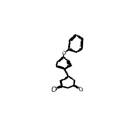 O=C1CC(=O)CC(c2ccc(Oc3ccccc3)cc2)C1